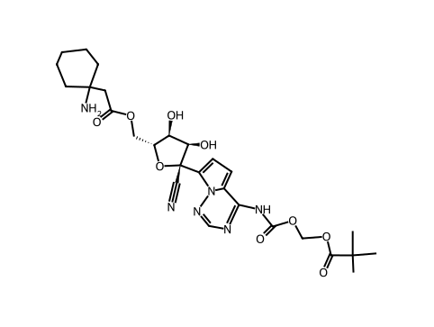 CC(C)(C)C(=O)OCOC(=O)Nc1ncnn2c([C@]3(C#N)O[C@H](COC(=O)CC4(N)CCCCC4)[C@@H](O)[C@H]3O)ccc12